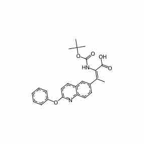 CC(=C(NC(=O)OC(C)(C)C)C(=O)O)c1ccc2nc(Oc3ccccc3)ccc2c1